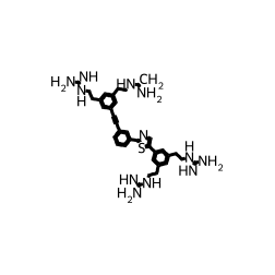 C=C(N)NCCc1cc(C#Cc2cccc(-c3ncc(-c4cc(CCNC(=N)N)cc(CCNC(=N)N)c4)s3)c2)cc(CCNC(=N)N)c1